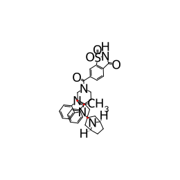 Cc1nc2ccccc2n1[C@H]1C[C@H]2CC[C@@H](C1)N2CCC1(c2ccccc2)CCN(C(=O)c2ccc3c(c2)S(=O)(=O)NC3=O)CC1